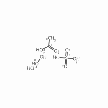 CC(=O)O.Cl.O=S(=O)(O)O.OO